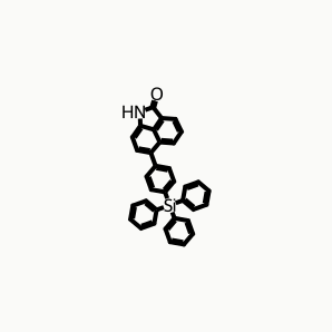 O=C1Nc2ccc(-c3ccc([Si](c4ccccc4)(c4ccccc4)c4ccccc4)cc3)c3cccc1c23